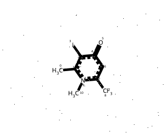 Cc1c(I)c(=O)cc(C(F)(F)F)n1C